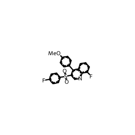 COc1ccc(-c2c(S(=O)(=O)c3ccc(F)cc3)cnc3c(F)cccc23)cc1